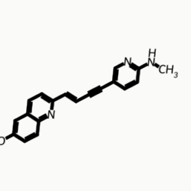 CNc1ccc(C#CC=Cc2ccc3cc(O)ccc3n2)cn1